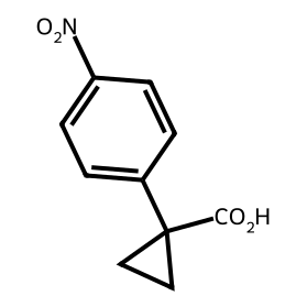 O=C(O)C1(c2ccc([N+](=O)[O-])cc2)CC1